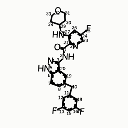 O=C(Nc1n[nH]c2ccc(Cc3cc(F)cc(F)c3)cc12)c1ncc(F)cc1NC1CCOCC1